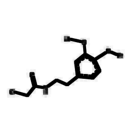 CCOc1ccc(CCNC(=O)CCl)cc1OCC